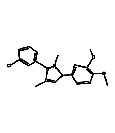 COc1ccc(C2C=C(C)N(c3cccc(Cl)c3)N2C)cc1OC